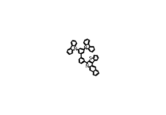 c1cc(-c2cc(-n3c4ccccc4c4ccccc43)cc(-n3c4ccccc4c4ccccc43)c2)cc(-c2nc3cc4ccccc4cc3c3c2sc2ccccc23)c1